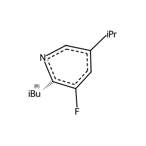 CC[C@@H](C)c1ncc(C(C)C)cc1F